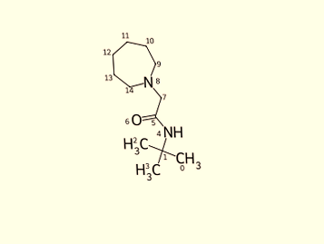 CC(C)(C)NC(=O)CN1CCCCCC1